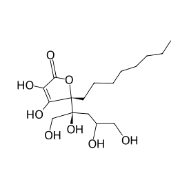 CCCCCCCC[C@]1([C@@](O)(CO)CC(O)CO)OC(=O)C(O)=C1O